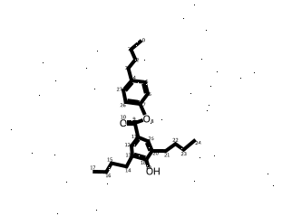 CCCCc1ccc(OC(=O)c2cc(CCCC)c(O)c(CCCC)c2)cc1